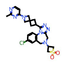 Cc1nccc(N2CC3(CC(c4nnc5n4-c4ccc(Cl)cc4CN(C4CS(=O)(=O)C4)C5)C3)C2)n1